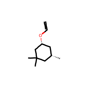 C=CO[C@@H]1C[C@H](C)CC(C)(C)C1